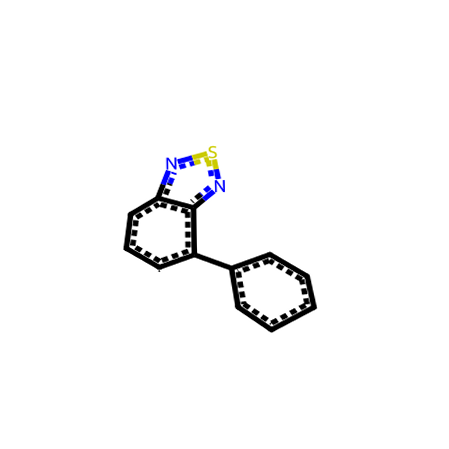 [c]1ccc2nsnc2c1-c1ccccc1